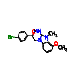 COc1cccc2c1n(C)c(=N)n2CC(=O)c1ccc(Br)cc1